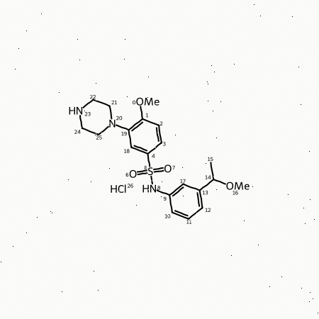 COc1ccc(S(=O)(=O)Nc2cccc(C(C)OC)c2)cc1N1CCNCC1.Cl